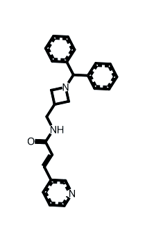 O=C(C=Cc1cccnc1)NCC1CN(C(c2ccccc2)c2ccccc2)C1